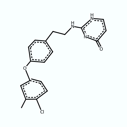 Cc1cc(Oc2ccc(CCNc3nc(=O)cc[nH]3)cc2)ccc1Cl